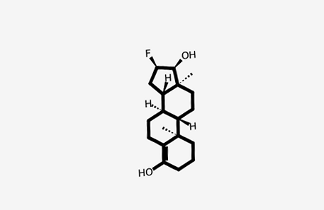 C[C@]12CC[C@H]3[C@@H](CCC4=C(O)CCC[C@@]43C)[C@@H]1C[C@@H](F)[C@H]2O